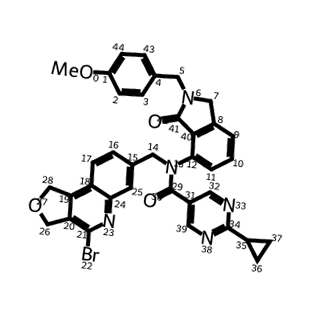 COc1ccc(CN2Cc3cccc(N(Cc4ccc5c6c(c(Br)nc5c4)COC6)C(=O)c4cnc(C5CC5)nc4)c3C2=O)cc1